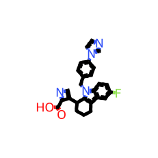 O=C(O)C1=NC=C1C1CCCc2c1n(Cc1ccc(-n3ccnc3)cc1)c1ccc(F)cc21